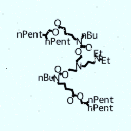 CCCCCC(CCCCC)COC(=O)CCCCN(CCCC)C(=O)OCCN(CCCN(CC)CC)CCOC(=O)N(CCCC)CCCCC(=O)OCC(CCCCC)CCCCC